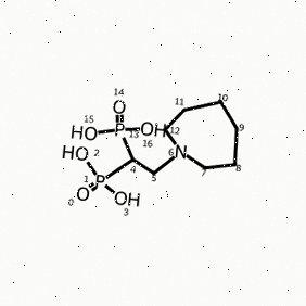 O=P(O)(O)C(CN1CCCCCC1)P(=O)(O)O